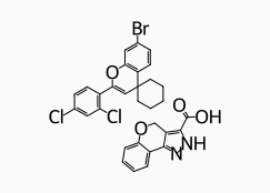 Clc1ccc(C2=CC3(CCCCC3)c3ccc(Br)cc3O2)c(Cl)c1.O=C(O)c1[nH]nc2c1COc1ccccc1-2